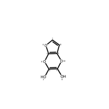 OC1=C(O)Oc2occc2O1